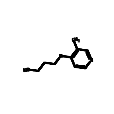 Cc1cnccc1OCCCO